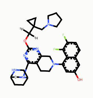 [2H]C([2H])(Oc1nc2c(c(N3CC4CCC3CN4)n1)CCN(c1cc(O)cc3ccc(F)c(F)c13)C2)C1(CN2CCCC2)CC1